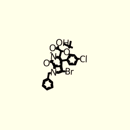 Cn1c(C(OC(C)(C)C)C(=O)O)c(-c2ccc(Cl)cc2)c2c(Br)cn(Cc3ccccc3)c2c1=O